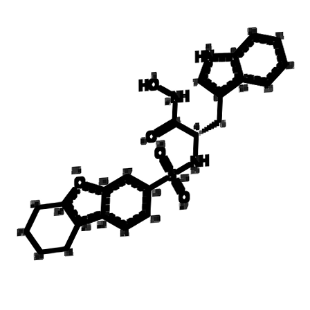 O=C(NO)[C@H](Cc1c[nH]c2ccccc12)NS(=O)(=O)c1ccc2c3c(oc2c1)CCCC3